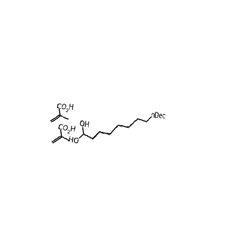 C=C(C)C(=O)O.C=C(C)C(=O)O.CCCCCCCCCCCCCCCCCC(O)O